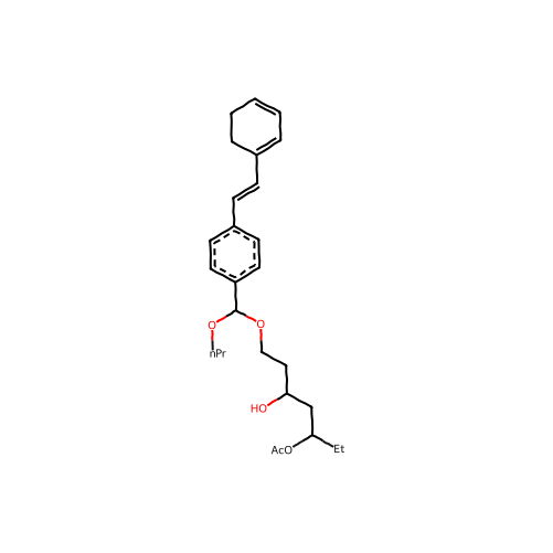 CCCOC(OCCC(O)CC(CC)OC(C)=O)c1ccc(C=CC2=CC=CCC2)cc1